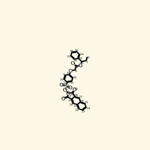 CCC(OC(=O)COc1ccc(S(=O)(=O)ON2C(=O)c3cc4ccccc4cc3C2=O)cc1)c1ccccc1